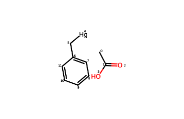 CC(=O)O.[Hg][CH2]c1ccccc1